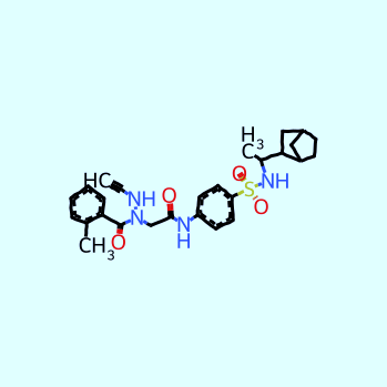 C#CNN(CC(=O)Nc1ccc(S(=O)(=O)NC(C)C2CC3CCC2C3)cc1)C(=O)c1ccccc1C